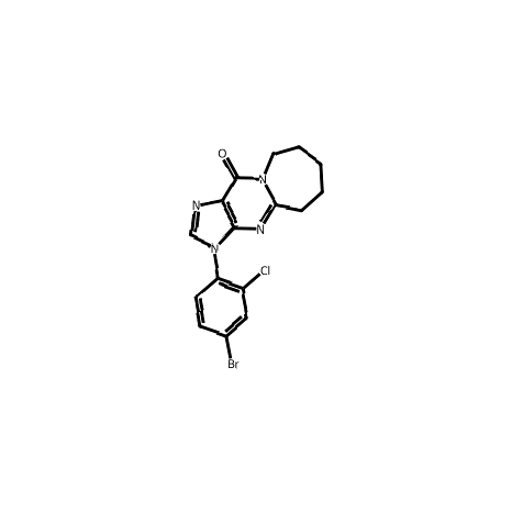 O=c1c2ncn(-c3ccc(Br)cc3Cl)c2nc2n1CCCCC2